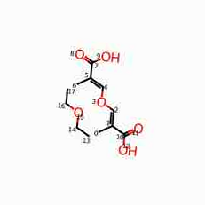 C/C(=C\O/C=C(\C)C(=O)O)C(=O)O.CCOCC